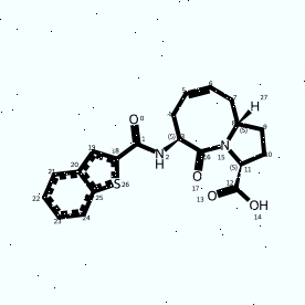 O=C(N[C@H]1CC=CC[C@@H]2CC[C@@H](C(=O)O)N2C1=O)c1cc2ccccc2s1